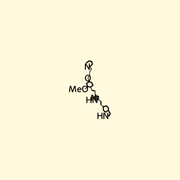 COc1cc(OCCCc2ccccn2)ccc1/C=C/c1cc(/C=C/c2ccc3cc[nH]c3c2)[nH]n1